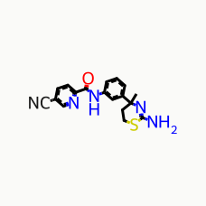 CC1(c2cccc(NC(=O)c3ccc(C#N)cn3)c2)CCSC(N)=N1